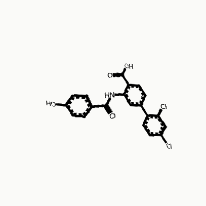 O=C(Nc1cc(-c2ccc(Cl)cc2Cl)ccc1C(=O)O)c1ccc(O)cc1